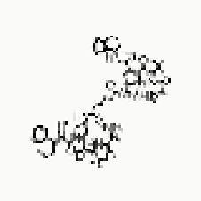 CN[C@@H](C)C(=O)N[C@H](C(=O)N1C[C@@H](NC(=O)CCCCC(=O)N[C@H]2C[C@@H](C(=O)N[C@@H]3CCCc4ccccc43)N(C(=O)[C@@H](NC(=O)[C@H](C)NC)C(C)(C)C)C2)C[C@H]1C(=O)N[C@@H]1CCCc2ccccc21)C(C)(C)C